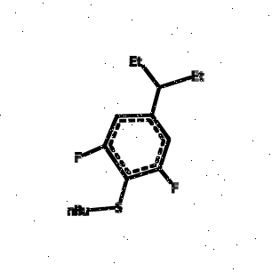 CCCCSc1c(F)cc(C(CC)CC)cc1F